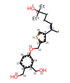 CCC(O)(CC)CC/C=C(/C)c1csc(COc2ccc(CO)c(CO)c2)c1